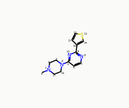 CN1CCN(c2ccnc(-c3ccsc3)n2)CC1